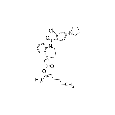 CCCCC[C@@H](C)OC(=O)C[C@@H]1CCCN(C(=O)c2ccc(N3CCCC3)cc2Cl)c2ccccc21